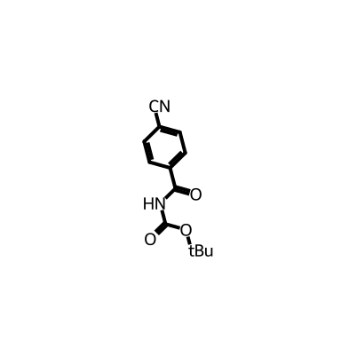 CC(C)(C)OC(=O)NC(=O)c1ccc(C#N)cc1